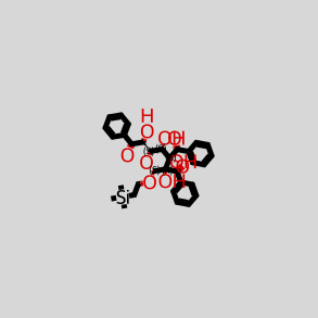 C[Si](C)(C)CCO[C@H]1O[C@H](C(O)C(=O)c2ccccc2)[C@H](O)[C@@](O)(C(=O)c2ccccc2)[C@]1(O)C(=O)c1ccccc1